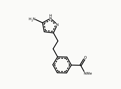 CNC(=O)c1cccc(CCc2cc(N)[nH]n2)c1